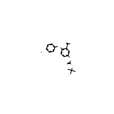 CC(C)(C)OC(=O)Nc1ccc(Sc2ccc([N+](=O)[O-])cc2)c(C(=O)O)c1